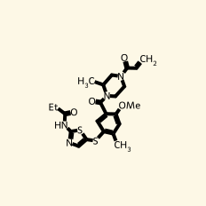 C=CC(=O)N1CCN(C(=O)c2cc(Sc3cnc(NC(=O)CC)s3)c(C)cc2OC)C(C)C1